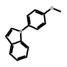 COc1ccc(-n2ccc3cc[c]cc32)cc1